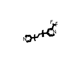 CC(C)(CCC(C)(C)c1ccnc(C(F)F)c1)c1ccncc1